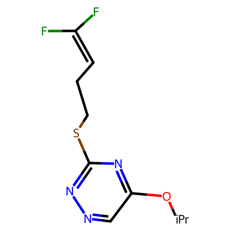 CC(C)Oc1cnnc(SCCC=C(F)F)n1